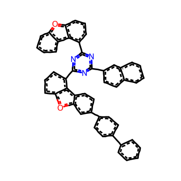 c1ccc(-c2ccc(-c3ccc4c(c3)oc3cccc(-c5nc(-c6ccc7ccccc7c6)nc(-c6cccc7oc8ccccc8c67)n5)c34)cc2)cc1